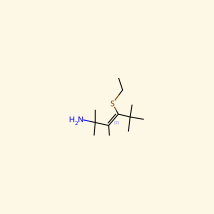 CCS/C(=C(/C)C(C)(C)N)C(C)(C)C